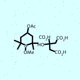 CON1C(C)(C)CC(OC(C)=O)CC1(C)C.O=C(O)CC(O)(CC(=O)O)C(=O)O